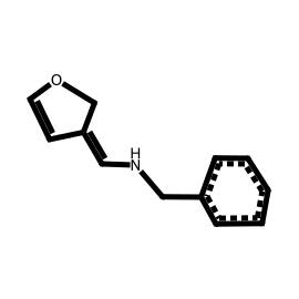 C1=CC(=CNCc2ccccc2)CO1